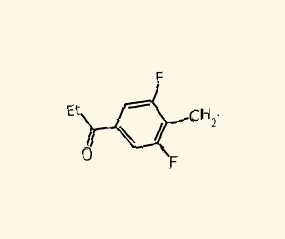 [CH2]c1c(F)cc(C(=O)CC)cc1F